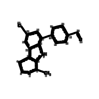 Cc1nccc2c1[nH]c1c(-c3ccc(C=O)cc3)cc(Cl)cc12